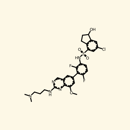 COc1cc(-c2c(F)ccc(NS(=O)(=O)c3cc(Cl)cc4c3CCC4O)c2F)cc2cnc(NCCCN(C)C)nc12